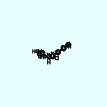 O[C@@H]1CO[C@@H]2C(Oc3nc4nc(-c5ccc(-c6ccc(-n7cccn7)cc6)cc5)c(Cl)cc4[nH]3)CC[C@H]12